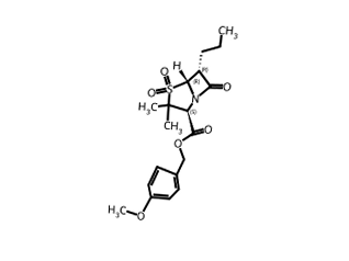 CCC[C@@H]1C(=O)N2[C@@H](C(=O)OCc3ccc(OC)cc3)C(C)(C)S(=O)(=O)[C@H]12